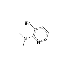 CC(C)c1cccnc1N(C)C